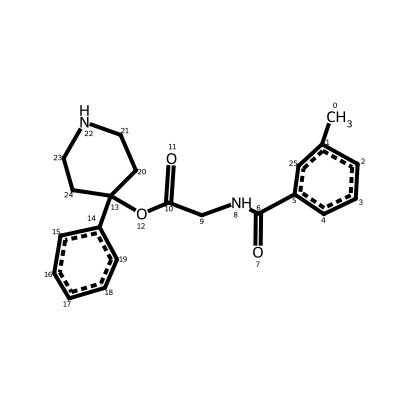 Cc1cccc(C(=O)NCC(=O)OC2(c3ccccc3)CCNCC2)c1